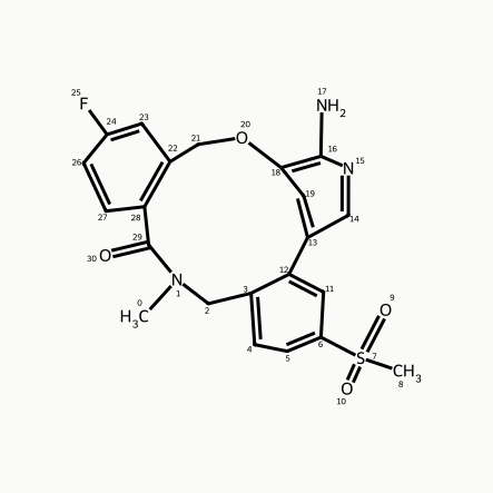 CN1Cc2ccc(S(C)(=O)=O)cc2-c2cnc(N)c(c2)OCc2cc(F)ccc2C1=O